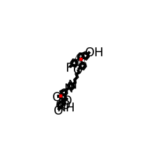 O=C1CCC(N2C(=O)c3ccc(N4CCN(CCCCCOc5cccc([C@@H]6c7ccc(O)cc7CC[C@@H]6c6ccc(F)cc6)c5)CC4)cc3C2=O)C(=O)N1